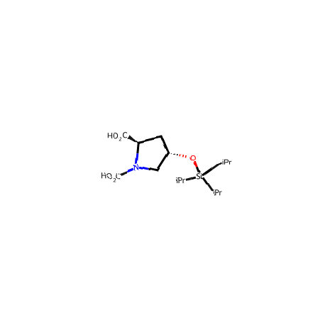 CC(C)[Si](O[C@H]1C[C@H](C(=O)O)N(C(=O)O)C1)(C(C)C)C(C)C